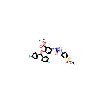 COC(=O)c1cc(NC(=O)Nc2ccc(S(C)(=O)=O)cc2)ccc1OC(c1ccc(F)cc1)c1ccc(F)cc1